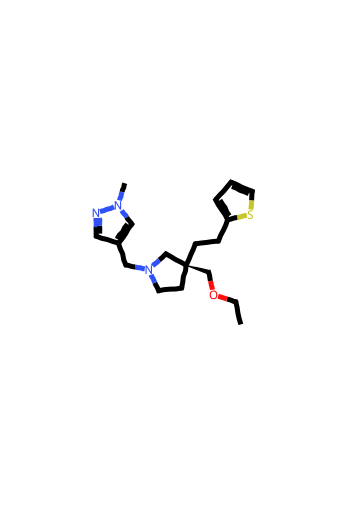 CCOC[C@@]1(CCc2cccs2)CCN(Cc2cnn(C)c2)C1